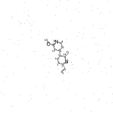 C=Cc1ccc(-c2ccnc(OC)c2)c(C)n1